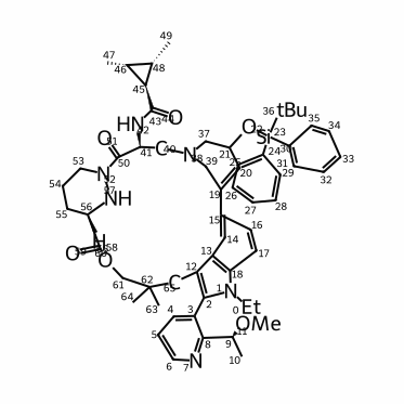 CCn1c(-c2cccnc2[C@H](C)OC)c2c3cc(ccc31)C1=CC(O[Si](c3ccccc3)(c3ccccc3)C(C)(C)C)CN(C1)C[C@H](NC(=O)[C@H]1[C@H](C)[C@@H]1C)C(=O)N1CCC[C@H](N1)C(=O)OCC(C)(C)C2